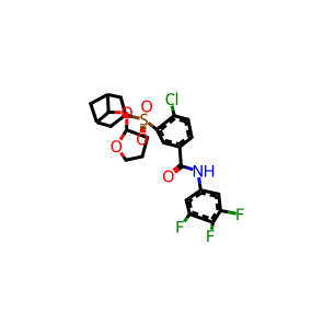 O=C(Nc1cc(F)c(F)c(F)c1)c1ccc(Cl)c(S(=O)(=O)C2CC3CC(C2)C3OC2CCCO2)c1